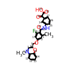 Cc1cc(OC[C@@H]2CN(C)c3ccccc3O2)cc(F)c1C(=O)Nc1cccc(C(=O)C(=O)O)c1